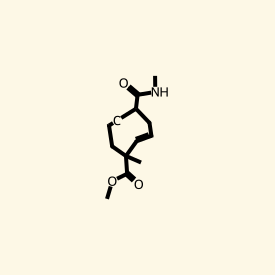 CNC(=O)C1C/C=C/C(C)(C(=O)OC)CCC1